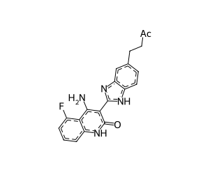 CC(=O)CCc1ccc2[nH]c(-c3c(N)c4c(F)cccc4[nH]c3=O)nc2c1